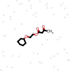 CC(=O)CC(=O)OCCOC1CCCCC1